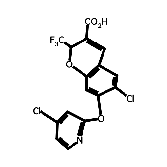 O=C(O)C1=Cc2cc(Cl)c(Oc3cc(Cl)ccn3)cc2OC1C(F)(F)F